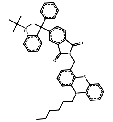 CCCCCCN1c2ccccc2Sc2c(CN3C(=O)c4ccc(C(O[SiH2]C(C)(C)C)(c5ccccc5)c5ccccc5)cc4C3=O)cccc21